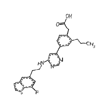 CCCc1cc(-c2cc(NCCc3cc(F)c4sccc4c3)ncn2)ccc1CC(=O)O